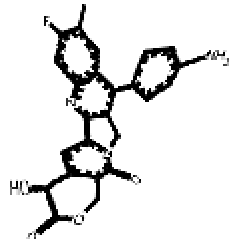 Cc1cc2c(-c3ccc(N)cc3)c3c(nc2cc1F)-c1cc2c(c(=O)n1C3)COC(=O)C2O